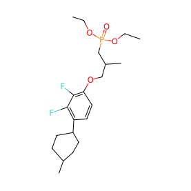 CCOP(=O)(CC(C)COc1ccc(C2CCC(C)CC2)c(F)c1F)OCC